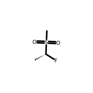 C[C@@H](F)S(C)(=O)=O